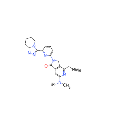 CNCc1nc(N(C)C(C)C)cc2c1CN(c1cccc(-c3nnc4n3CCCC4)n1)C2=O